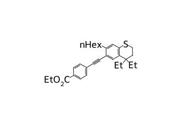 CCCCCCc1cc2c(cc1C#Cc1ccc(C(=O)OCC)cc1)C(CC)(CC)CCS2